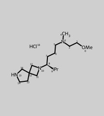 COCCN(C)CCC[C@@H](C(C)C)N1CC2(CCNC2)C1.Cl